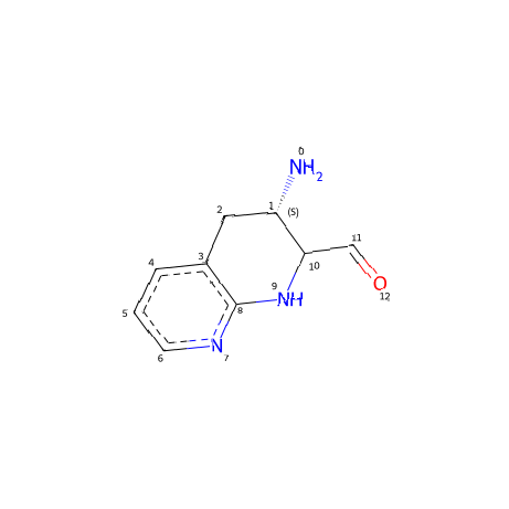 N[C@H]1Cc2cccnc2NC1C=O